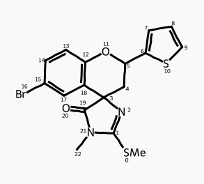 CSC1=NC2(CC(c3cccs3)Oc3ccc(Br)cc32)C(=O)N1C